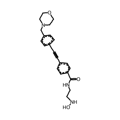 O=C(NCCNO)c1ccc(C#Cc2ccc(CN3CCOCC3)cc2)cc1